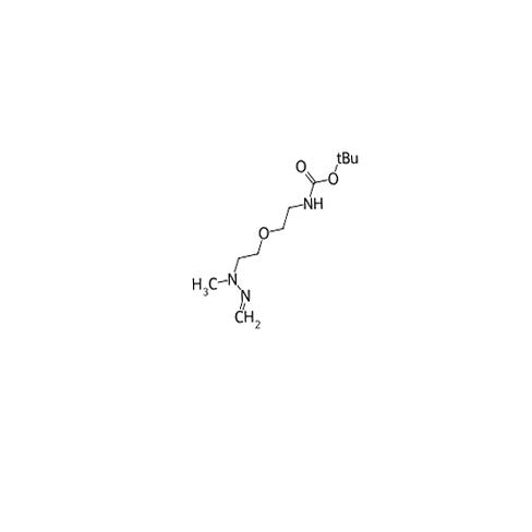 C=NN(C)CCOCCNC(=O)OC(C)(C)C